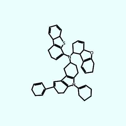 C1=CC2SC3=C(CCC=C3N(C3CCc4c(c5c(n4C4=CCCCC4)CCC(C4=CCCC=C4)=C5)C3)C3CC=CC4OC5=C(C=CCC5)C43)C2C=C1